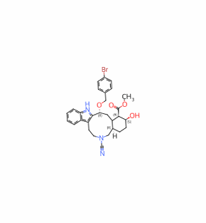 COC(=O)[C@@H]1C2C[C@@H](OCc3ccc(Br)cc3)c3[nH]c4ccccc4c3CCN(C#N)C[C@@H]2CC[C@@H]1O